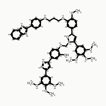 COc1ccc(C2C=C(c3cc(OC)c(OC)c(OC)c3)N(COc3ccc(-c4cc(-c5cc(OC)c(OC)c(OC)c5)no4)cc3O)O2)cc1OCCCOc1ccc(-c2nc3ccccc3s2)cc1